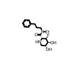 CCN(CCCc1ccccc1)C(=O)[C@H]1NC[C@@H](O)[C@H](O)[C@@H]1F